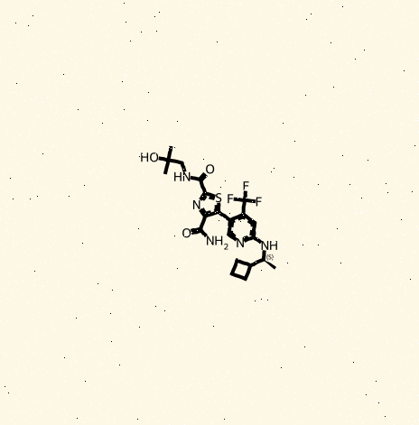 C[C@H](Nc1cc(C(F)(F)F)c(-c2sc(C(=O)NCC(C)(C)O)nc2C(N)=O)cn1)C1CCC1